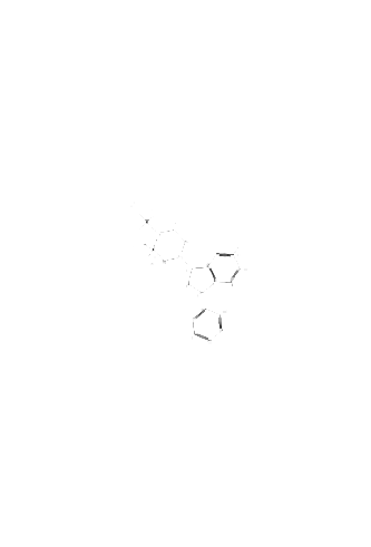 [2H]C([2H])([2H])N1CCN([C@@H]2C[C@@H](c3ccccc3)c3ccc(Cl)cc32)CC1(C)C